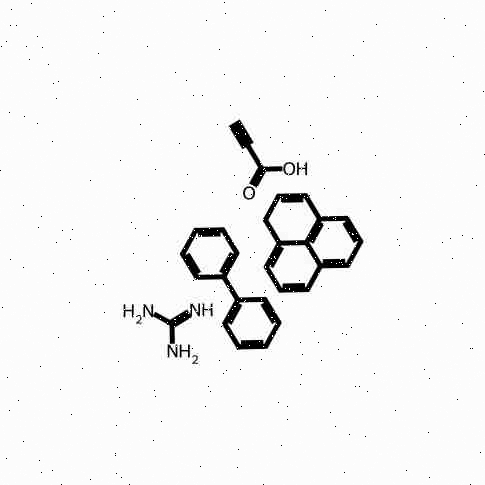 C#CC(=O)O.C1=Cc2cccc3cccc(c23)C1.N=C(N)N.c1ccc(-c2ccccc2)cc1